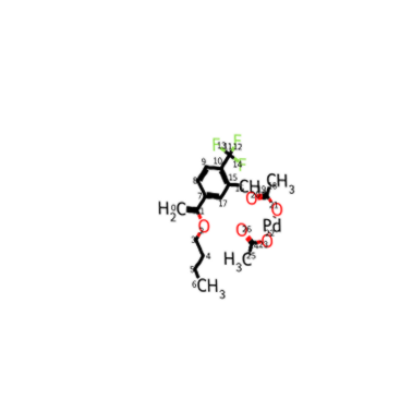 C=C(OCCCC)c1ccc(C(F)(F)F)c(C)c1.CC(=O)[O][Pd][O]C(C)=O